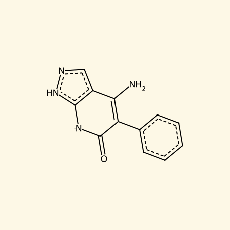 NC1=C(c2ccccc2)C(=O)[N]c2[nH]ncc21